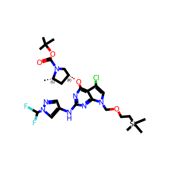 C[C@H]1C[C@@H](Oc2nc(Nc3cnn(C(F)F)c3)nc3c2c(Cl)cn3COCC[Si](C)(C)C)CN1C(=O)OC(C)(C)C